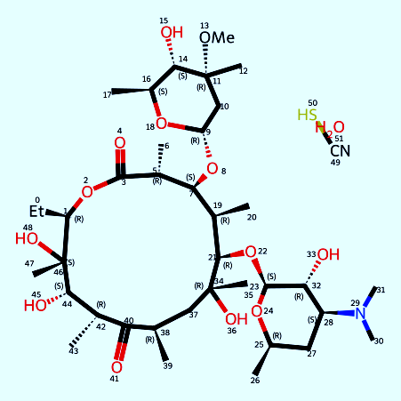 CC[C@H]1OC(=O)[C@H](C)[C@@H](O[C@H]2C[C@@](C)(OC)[C@@H](O)[C@H](C)O2)[C@@H](C)[C@@H](O[C@@H]2O[C@H](C)C[C@H](N(C)C)[C@H]2O)[C@](C)(O)C[C@@H](C)C(=O)[C@H](C)[C@H](O)[C@]1(C)O.N#CS.O